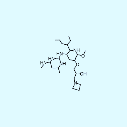 CCCC(CC)C1NC(OC)C(OC[C@H](O)CN2CCC2)CC1NC1NC(C)CC(NC)N1